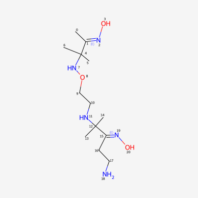 C/C(=N\O)C(C)(C)NOCCNC(C)(C)/C(CCN)=N/O